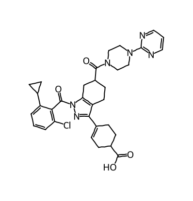 O=C(O)C1CC=C(c2nn(C(=O)c3c(Cl)cccc3C3CC3)c3c2CCC(C(=O)N2CCN(c4ncccn4)CC2)C3)CC1